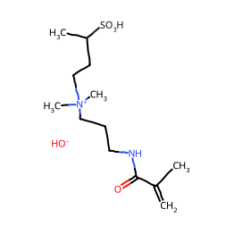 C=C(C)C(=O)NCCC[N+](C)(C)CCC(C)S(=O)(=O)O.[OH-]